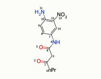 CCCC(=O)CC(=O)Nc1ccc(N)c([N+](=O)[O-])c1